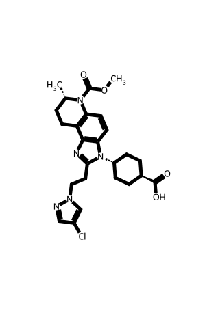 COC(=O)N1c2ccc3c(nc(CCn4cc(Cl)cn4)n3[C@H]3CC[C@H](C(=O)O)CC3)c2CC[C@@H]1C